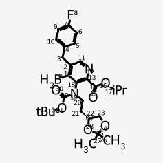 Bc1c(Cc2ccc(F)cc2)cnc(C(=O)OC(C)C)c1N(CC[C@H]1COC(C)(C)O1)C(=O)OC(C)(C)C